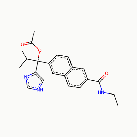 CCNC(=O)c1ccc2cc(C(OC(C)=O)(c3c[nH]cn3)C(C)C)ccc2c1